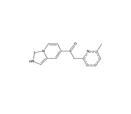 Cc1cccc(CC(=O)C2=CC3=CNSN3C=C2)n1